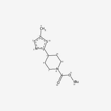 Cc1cnc(C2CCN(C(=O)OC(C)(C)C)CC2)s1